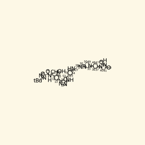 C[C@@H](NC(=O)c1nc(C(C)(C)C)no1)c1ccc(-c2ncnc3[nH]c(-c4ccc(NCCNCC5CCN(c6ccc(N7CCC(=O)NC7=O)cc6)CC5)cc4)cc23)cc1CO